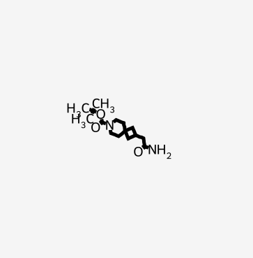 CC(C)(C)OC(=O)N1CCC2(CC1)CC(CC(N)=O)C2